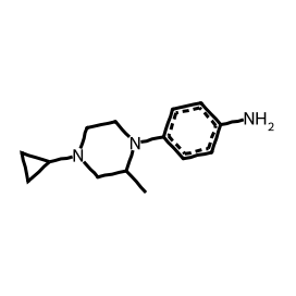 CC1CN(C2CC2)CCN1c1ccc(N)cc1